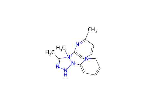 CC1=NNN(c2ccccn2)[N+]1(C)c1cccc(C)n1